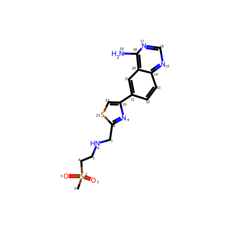 CS(=O)(=O)CCNCc1nc(-c2ccc3ncnc(N)c3c2)cs1